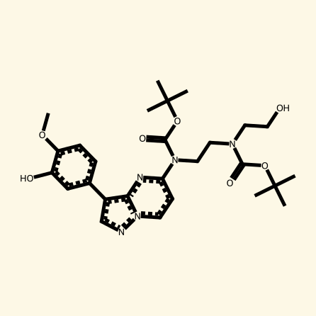 COc1ccc(-c2cnn3ccc(N(CCN(CCO)C(=O)OC(C)(C)C)C(=O)OC(C)(C)C)nc23)cc1O